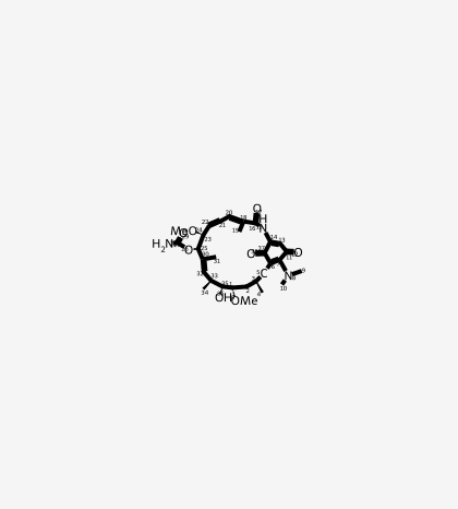 CO[C@H]1C[C@H](C)CC2=C(N(C)C)C(=O)C=C(NC(=O)/C(C)=C/C=C\[C@@H](OC)[C@@H](OC(N)=O)/C(C)=C/[C@H](C)[C@H]1O)C2=O